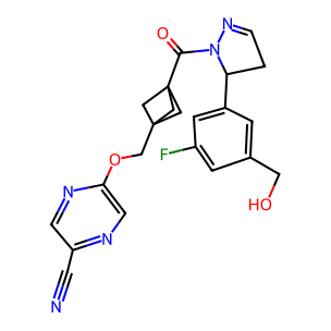 N#Cc1cnc(OCC23CC(C(=O)N4N=CCC4c4cc(F)cc(CO)c4)(C2)C3)cn1